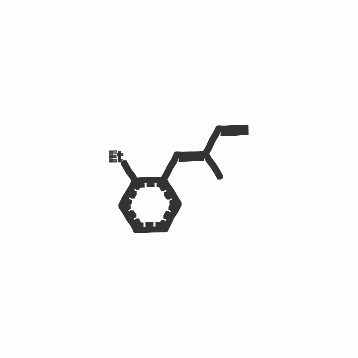 C=C/C(C)=C/c1ccccc1CC